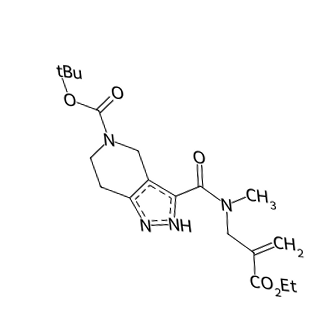 C=C(CN(C)C(=O)c1[nH]nc2c1CN(C(=O)OC(C)(C)C)CC2)C(=O)OCC